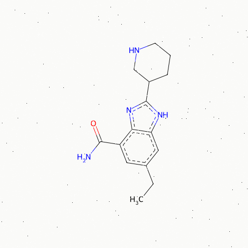 CCc1cc(C(N)=O)c2nc(C3CCCNC3)[nH]c2c1